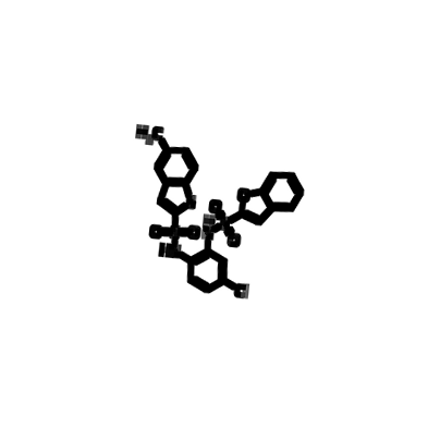 Cc1ccc2sc(S(=O)(=O)Nc3ccc(Cl)cc3NS(=O)(=O)c3cc4ccccc4o3)cc2c1